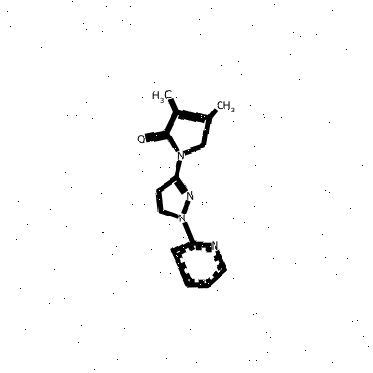 CC1=C(C)C(=O)N(C2=NN(c3ccccn3)CC2)C1